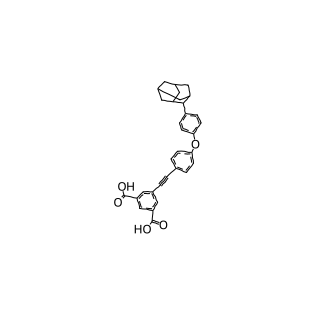 O=C(O)c1cc(C#Cc2ccc(Oc3ccc(C4C5CC6CC(C5)CC4C6)cc3)cc2)cc(C(=O)O)c1